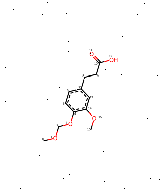 COCOc1ccc(CCC(=O)O)cc1OC